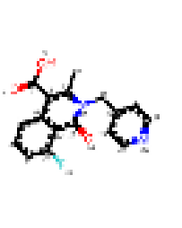 Cc1c(C(=O)O)c2cccc(F)c2c(=O)n1Cc1ccncc1